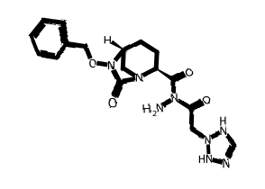 NN(C(=O)CN1NC=NN1)C(=O)[C@@H]1CC[C@@H]2CN1C(=O)N2OCc1ccccc1